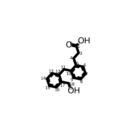 O=C(O)CCc1ccccc1Cc1ccccc1CO